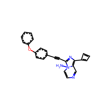 N[N+]12C=CN=CC1=C(C1=CC=C1)N=C2C#Cc1ccc(Oc2ccccc2)cc1